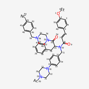 CCOc1ccc(C=CC(=O)N(Cc2ccc(N3CCN(C(C)=O)CC3)cc2)C(Cc2ccccc2)C(=O)N2CCN(Cc3ccc(C#N)cc3)CC2)cc1